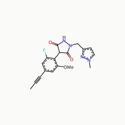 CC#Cc1cc(F)c(C2C(=O)NN(Cc3ccn(C)n3)C2=O)c(OC)c1